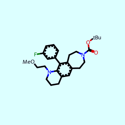 COCCN1CCCc2cc3c(c(-c4cccc(F)c4)c21)CCN(C(=O)OC(C)(C)C)CC3